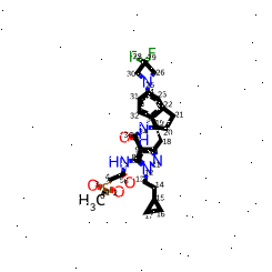 CS(=O)(=O)CC(=O)Nc1c2c(nn1CCC1CC1)C[C@@]1(CCc3cc(N4CC(F)(F)C4)ccc31)NC2=O